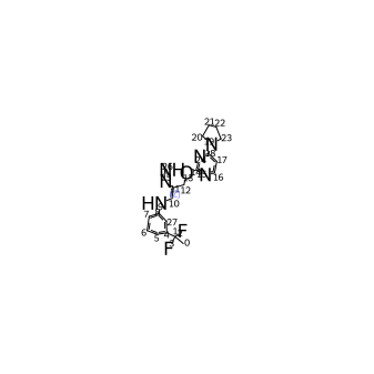 CC(F)(F)c1cccc(N/C=C(/COc2nccc(N3CCCC3)n2)N=N)c1